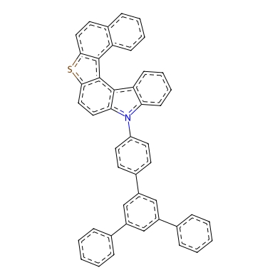 c1ccc(-c2cc(-c3ccccc3)cc(-c3ccc(-n4c5ccccc5c5c6c(ccc54)sc4ccc5ccccc5c46)cc3)c2)cc1